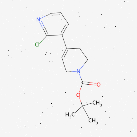 CC(C)(C)OC(=O)N1CC=C(c2cccnc2Cl)CC1